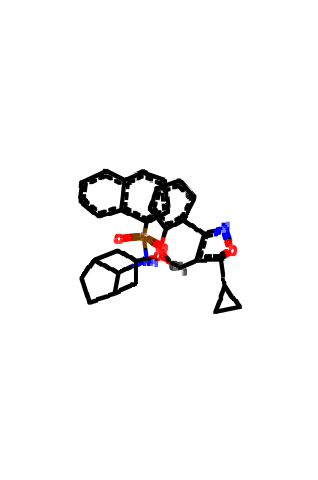 O=S(=O)(NC1C2CCC1CC(OCc1c(-c3ccccc3OC(F)(F)F)noc1C1CC1)C2)c1cccc2ccccc12